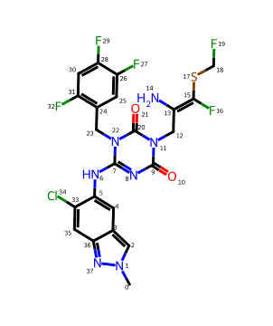 Cn1cc2cc(Nc3nc(=O)n(C/C(N)=C(\F)SCF)c(=O)n3Cc3cc(F)c(F)cc3F)c(Cl)cc2n1